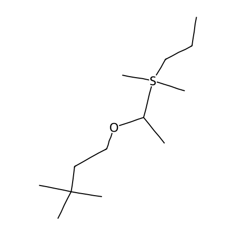 CCCS(C)(C)C(C)OCCC(C)(C)C